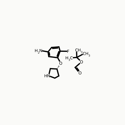 CC(C)(C)OC=O.Nc1ccc(F)c(O[C@@H]2CCNC2)c1